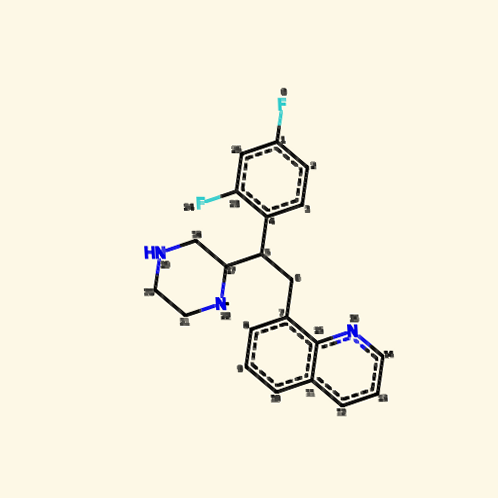 Fc1ccc(C(Cc2cccc3cccnc23)C2CNCC[N]2)c(F)c1